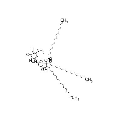 CCCCCCCCCCCCCCCC(=O)OC(C(=O)CCCCCCCCCCCCCCC)(C(=O)CCCCCCCCCCCCCCC)[C@H]1O[C@@H](n2cnc3c(=O)[nH]c(N)nc32)C[C@@H]1O